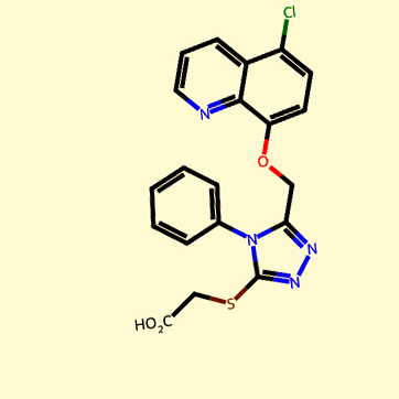 O=C(O)CSc1nnc(COc2ccc(Cl)c3cccnc23)n1-c1ccccc1